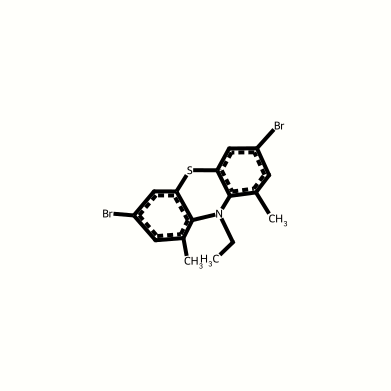 CCN1c2c(C)cc(Br)cc2Sc2cc(Br)cc(C)c21